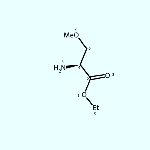 CCOC(=O)[C@@H](N)COC